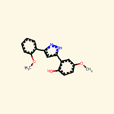 COc1ccc(O)c(-c2cc(-c3ccccc3OC)n[nH]2)c1